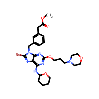 COC(=O)Cc1cccc(Cn2c(Br)nc3c(NC4CCCCO4)nc(OCCCN4CCOCC4)nc32)c1